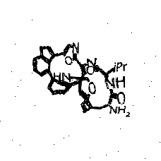 CC(C)C1NC(=O)[C@@H](N)Cc2ccc3c(c2)[C@]24c5cccc(c5NC2O3)-c2cccc3c2C(=CC3)c2cnc(o2)-c2nc1oc24